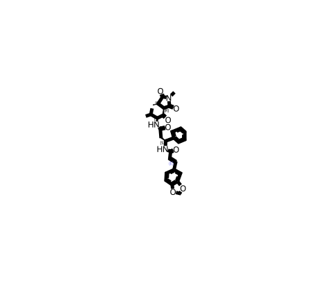 CC(C)[C@H](NC(=O)C[C@H](NC(=O)/C=C/c1ccc2c(c1)OCO2)c1ccccc1)C(=O)[C@@H]1C(=O)N(C)C(=O)[C@H]1C